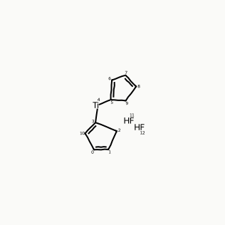 C1=CC[C]([Ti][C]2=CC=CC2)=C1.F.F